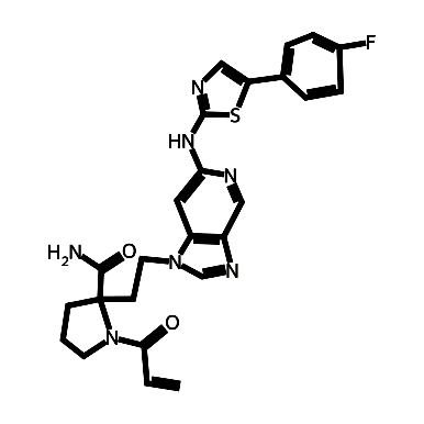 C=CC(=O)N1CCCC1(CCn1cnc2cnc(Nc3ncc(-c4ccc(F)cc4)s3)cc21)C(N)=O